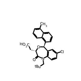 Cc1cccc2c([C@@H]3O[C@@H](CC(=O)O)C(=O)N(CC(C)(C)C)c4ccc(Cl)cc43)cccc12